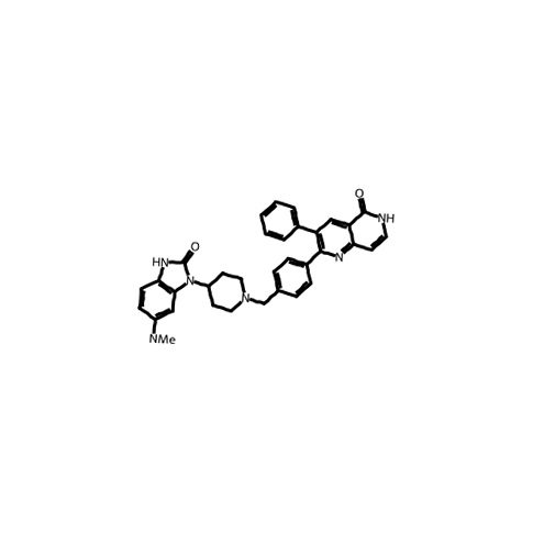 CNc1ccc2[nH]c(=O)n(C3CCN(Cc4ccc(-c5nc6cc[nH]c(=O)c6cc5-c5ccccc5)cc4)CC3)c2c1